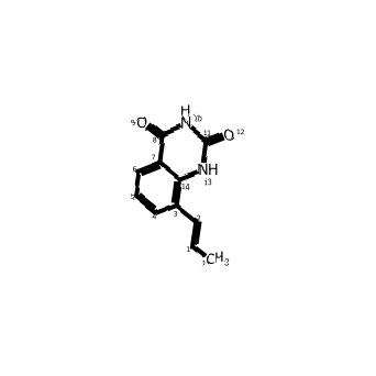 CC=Cc1cccc2c(=O)[nH]c(=O)[nH]c12